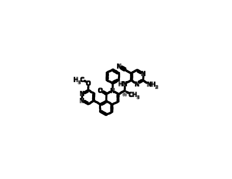 COc1cc(-c2cccc3cc([C@H](C)Nc4nc(N)ncc4C#N)n(-c4ccccc4)c(=O)c23)cnn1